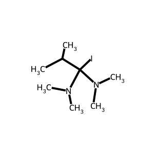 CC(C)C(I)(N(C)C)N(C)C